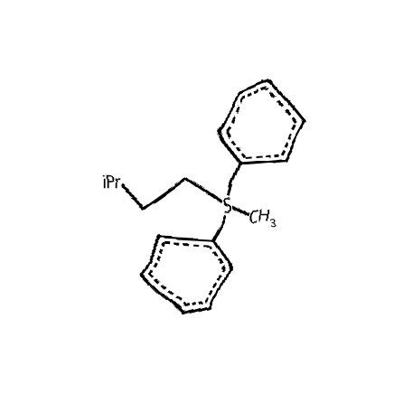 CC(C)CCS(C)(c1ccccc1)c1ccccc1